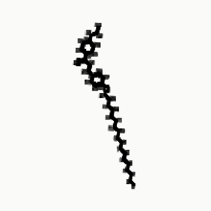 CCCCCCCCCCCCCCCCCCOc1ccc(C=CC(=S)c2ccc(CCC)cc2)cc1